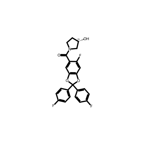 O=C(c1cc2c(cc1F)OC(c1ccc(F)cc1)(c1ccc(F)cc1)O2)N1CC[C@H](O)C1